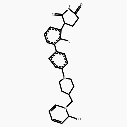 O=C1CCC(c2cccc(-c3ccc(N4CCC(CN5C=CC=CC5O)CC4)cc3)c2Cl)C(=O)N1